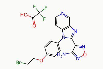 Nc1nonc1-c1nc2cnccc2n1-c1ccc(OCCBr)cc1.O=C(O)C(F)(F)F